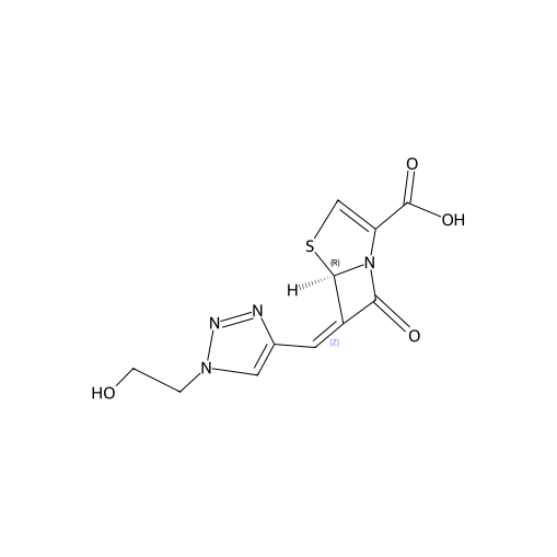 O=C(O)C1=CS[C@@H]2/C(=C\c3cn(CCO)nn3)C(=O)N12